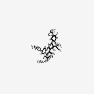 C=C(Nc1ccc(OC(F)(F)F)cc1)c1cnc(N2CC[C@@H](O)C2)c(-c2cnc(OC)nc2)c1